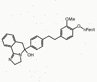 CCCCCOc1ccc(CCc2ccc(C3(O)Cc4ccccc4C4=NCCN43)cc2)cc1OC